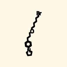 BrCCCCCCOCCCc1ccc(N2CCCC2)cc1